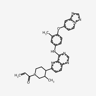 C=CC(=O)N1CCC(c2ccc3ncnc(Nc4ccc(Oc5ccn6ncnc6c5)c(C)c4)c3n2)C(C)C1